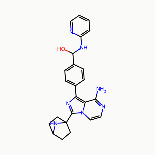 Nc1nccn2c(C34CCC(CC3)N4)nc(-c3ccc(C(O)Nc4ccccn4)cc3)c12